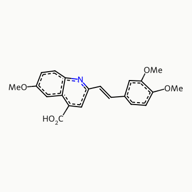 COc1ccc2nc(C=Cc3ccc(OC)c(OC)c3)cc(C(=O)O)c2c1